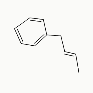 IC=CCc1ccccc1